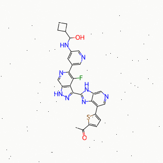 CC(=O)c1ccc(-c2cncc3[nH]c(-c4n[nH]c5cnc(-c6cncc(NC(O)C7CCC7)c6)c(F)c45)nc23)s1